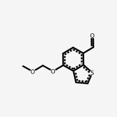 COCOc1ccc(C=O)c2sccc12